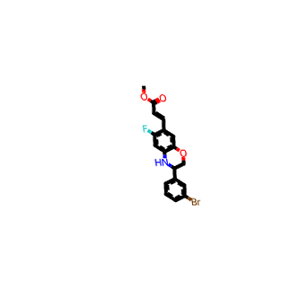 COC(=O)/C=C/c1cc2c(cc1F)NC(c1cccc(Br)c1)CO2